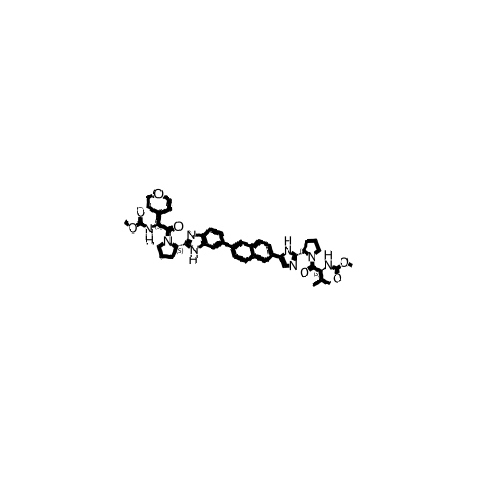 COC(=O)N[C@H](C(=O)N1CCC[C@H]1c1ncc(-c2ccc3cc(-c4ccc5nc([C@@H]6CCCN6C(=O)[C@@H](NC(=O)OC)C6CCOCC6)[nH]c5c4)ccc3c2)[nH]1)C(C)C